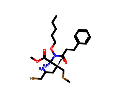 CCCCCON(C(=O)CCc1ccccc1)[C@@](N)(C(=O)OC)[C@@](C)(CSC)CC(N)CS